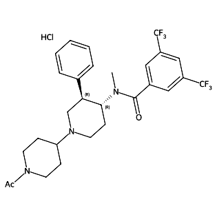 CC(=O)N1CCC(N2CC[C@@H](N(C)C(=O)c3cc(C(F)(F)F)cc(C(F)(F)F)c3)[C@H](c3ccccc3)C2)CC1.Cl